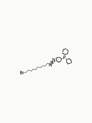 [N-]=[N+]=NCCCCCCCCCCBr.c1ccc(P(c2ccccc2)c2ccccc2)cc1